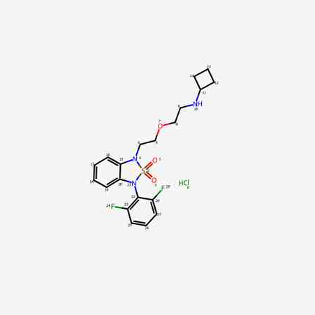 Cl.O=S1(=O)N(CCOCCNC2CCC2)c2ccccc2N1c1c(F)cccc1F